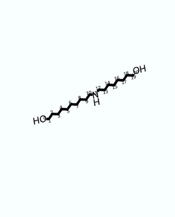 OCCCCCCCCCCNCCCCCCCCO